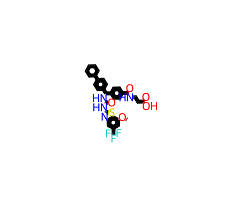 COc1cc(C(F)(F)F)cc2nc(NC(=O)NC(c3ccc(C(=O)NCCC(=O)O)cc3)c3ccc(C4CCCCC4)cc3)sc12